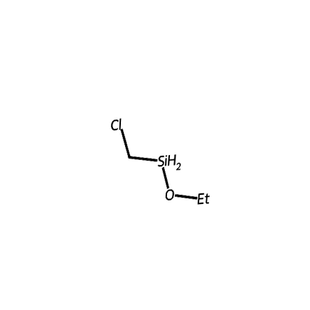 CCO[SiH2]CCl